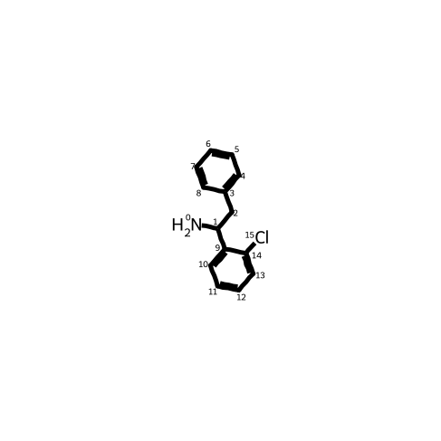 NC(Cc1ccccc1)c1ccccc1Cl